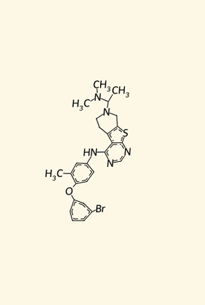 Cc1cc(Nc2ncnc3sc4c(c23)CCN(C(C)N(C)C)C4)ccc1Oc1cccc(Br)c1